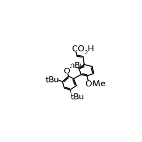 CCCCOc1c(-c2cc(C=CC(=O)O)ccc2OC)cc(C(C)(C)C)cc1C(C)(C)C